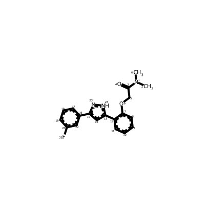 CN(C)C(=O)COc1ccccc1-c1cc(-c2cccc(F)c2)n[nH]1